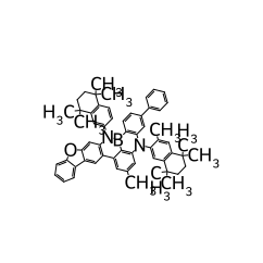 Cc1cc2c3c(c1)N(c1cc4c(cc1C)C(C)(C)CCC4(C)C)c1cc(-c4ccccc4)ccc1B3N(c1ccc3c(c1)C(C)(C)CCC3(C)C)c1cc3oc4ccccc4c3cc1-2